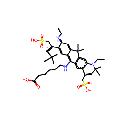 CC/N=C1\C=C2C(=C(NCCCCCC(=O)O)c3cc4c(cc3C2(C)C)N(CC)C(C)(C)C=C4CS(=O)(=O)O)C=C1/C(=C\C(C)(C)C)CS(=O)(=O)O